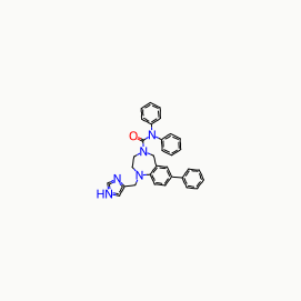 O=C(N1CCN(Cc2c[nH]cn2)c2ccc(-c3ccccc3)cc2C1)N(c1ccccc1)c1ccccc1